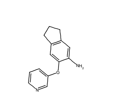 Nc1cc2c(cc1Oc1cccnc1)CCC2